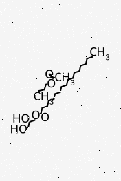 CCCCCCCCCCCCCCCCCC(=O)OCC(O)CO.CCCCOC(C)=O